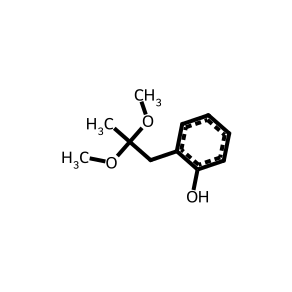 COC(C)(Cc1ccccc1O)OC